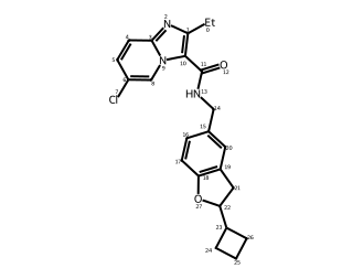 CCc1nc2ccc(Cl)cn2c1C(=O)NCc1ccc2c(c1)CC(C1CCC1)O2